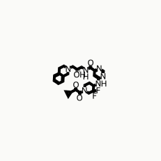 O=C(NC[C@H](O)CN1CCc2ccccc2C1)c1cc(NC2CCN(C(=O)C(=O)C3CC3)CC2(F)F)ncn1